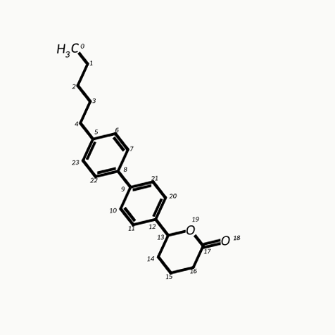 CCCCCc1ccc(-c2ccc(C3CCCC(=O)O3)cc2)cc1